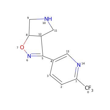 FC(F)(F)c1ccc(C2=NOC3CNCC23)cn1